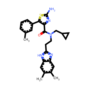 Cc1cccc(-c2sc(N)nc2C(=O)N(CCc2nc3cc(C)c(C)cc3[nH]2)CC2CC2)c1